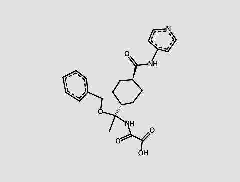 CC(NC(=O)C(=O)O)(OCc1ccccc1)[C@H]1CC[C@H](C(=O)Nc2ccncc2)CC1